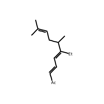 CC/C(=C\C=C\C(C)=O)C(C)CC=C(C)C